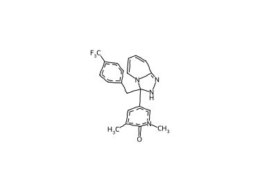 Cc1cc(C2(Cc3ccc(C(F)(F)F)cc3)NN=C3C=CC=CN32)cn(C)c1=O